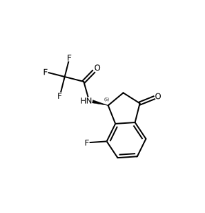 O=C1C[C@H](NC(=O)C(F)(F)F)c2c(F)cccc21